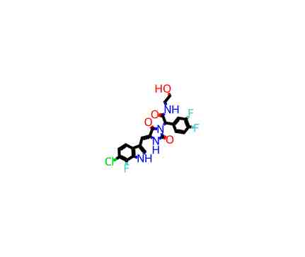 O=C(NCCO)C(c1ccc(F)c(F)c1)N1C(=O)NC(=Cc2c[nH]c3c(F)c(Cl)ccc23)C1=O